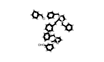 C(=CC1N(Cc2ccccc2)C=CN1Cc1ccccc1)c1ccccc1.Cc1nccn1Cc1ccccc1.ClCc1ccccc1.O=Cc1ccccc1